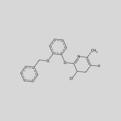 CC1=C(F)CC(Cl)C(Oc2ccccc2OCc2ccccc2)=N1